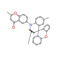 Cc1ccc2c(c1)C1(c3ccccc3Oc3ccccc31)c1cc(C)ccc1N2c1ccc2oc(C)cc(=O)c2c1